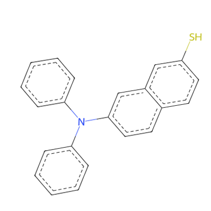 Sc1ccc2ccc(N(c3ccccc3)c3ccccc3)cc2c1